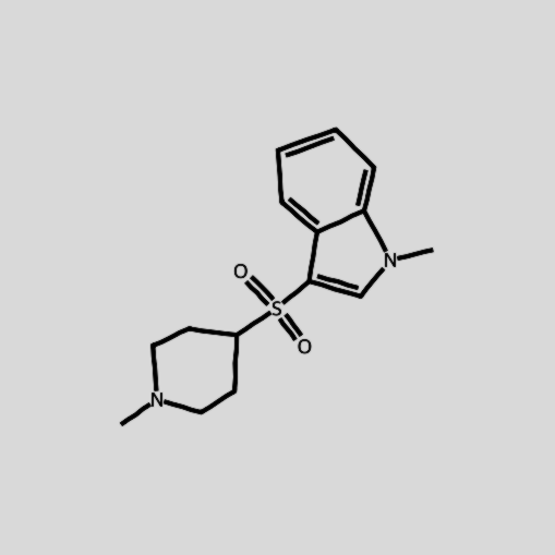 CN1CCC(S(=O)(=O)c2cn(C)c3ccccc23)CC1